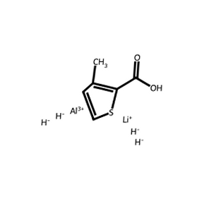 Cc1ccsc1C(=O)O.[Al+3].[H-].[H-].[H-].[H-].[Li+]